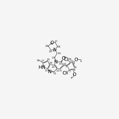 COc1cc(OC)c(Cl)c(-c2cc3cnc4[nH]c(C)cc4c3n(CCN3CCOCC3)c2=O)c1Cl